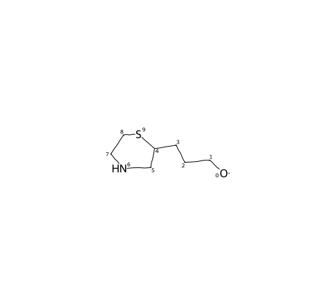 [O]CCCC1CNCCS1